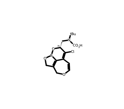 CC(C)(C)N(C[C@H]1OB2OCC3=C2C(=C1Cl)C=COC3)C(=O)O